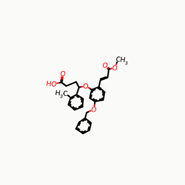 COC(=O)/C=C/c1ccc(OCc2ccccc2)cc1OC(CCC(=O)O)c1ccccc1C